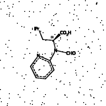 CC(C)C[C@@H](C(=O)O)N(C=O)c1ccccn1